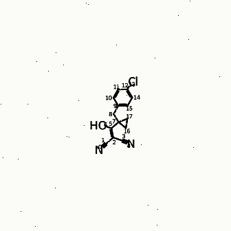 N#CC(C#N)=C(O)C1(Cc2ccc(Cl)cc2)CC1